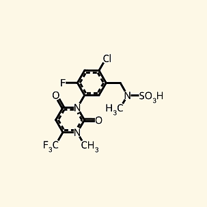 CN(Cc1cc(-n2c(=O)cc(C(F)(F)F)n(C)c2=O)c(F)cc1Cl)S(=O)(=O)O